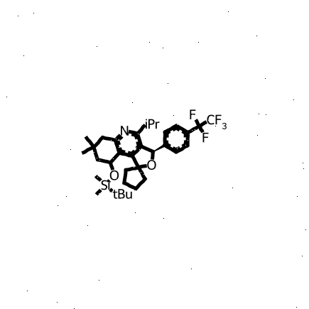 CC(C)c1nc2c(c3c1[C@@H](c1ccc(C(F)(F)C(F)(F)F)cc1)OC31CCCC1)C(O[Si](C)(C)C(C)(C)C)CC(C)(C)C2